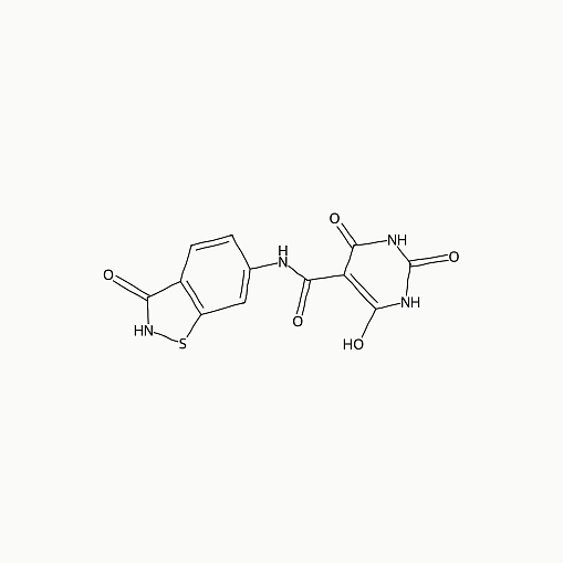 O=C(Nc1ccc2c(=O)[nH]sc2c1)c1c(O)[nH]c(=O)[nH]c1=O